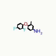 Cc1cc(N)ccc1Oc1ccc(F)cc1F